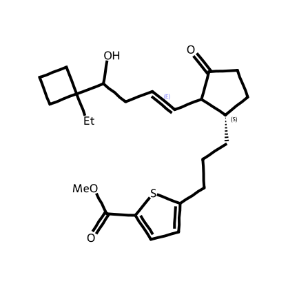 CCC1(C(O)C/C=C/C2C(=O)CC[C@@H]2CCCc2ccc(C(=O)OC)s2)CCC1